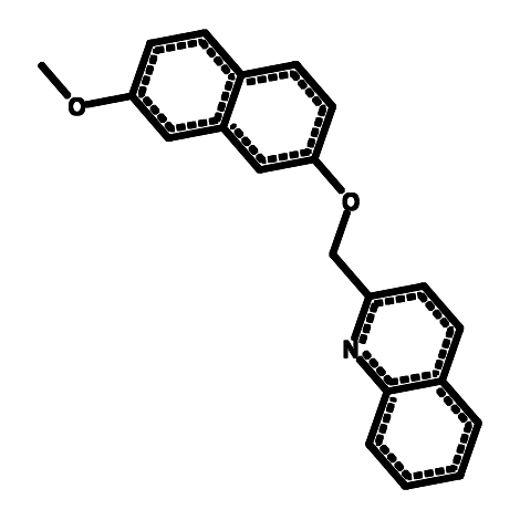 COc1ccc2ccc(OCc3ccc4ccccc4n3)cc2c1